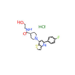 Cl.O=C(NCCO)C1CCN(c2cc(-c3ccc(F)cc3)nc3ccsc23)CC1